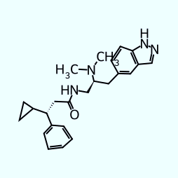 CN(C)[C@H](CNC(=O)C[C@H](c1ccccc1)C1CC1)Cc1ccc2[nH]ncc2c1